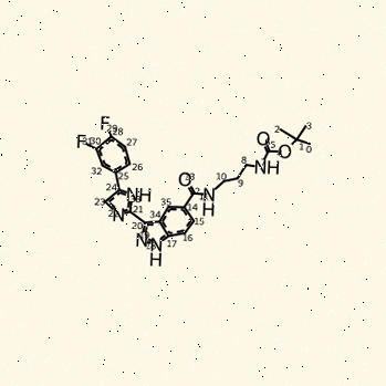 CC(C)(C)OC(=O)NCCCNC(=O)c1ccc2[nH]nc(-c3ncc(-c4ccc(F)c(F)c4)[nH]3)c2c1